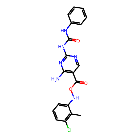 Cc1c(Cl)cccc1NOC(=O)c1cnc(NC(=O)Nc2ccccc2)nc1N